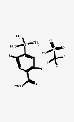 COC(=O)c1cc(F)c([N+](C)(C)C)cc1Cl.O=S(=O)(O)C(F)(F)F